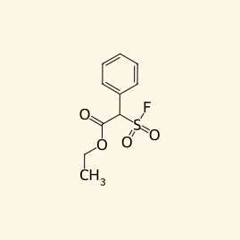 CCOC(=O)C(c1ccccc1)S(=O)(=O)F